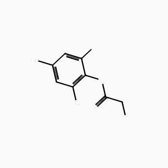 [CH2]CC(=O)Oc1c(Br)cc(Br)cc1Br